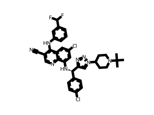 CC(C)(C)N1CCC(n2cc([C@@H](Nc3cc(Cl)cc4c(Nc5cccc(C(F)F)c5)c(C#N)cnc34)c3ccc(Cl)cc3)nn2)CC1